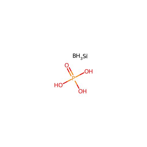 B.O=P(O)(O)O.[Si]